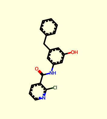 O=C(Nc1cc(O)cc(Cc2ccccc2)c1)c1cccnc1Cl